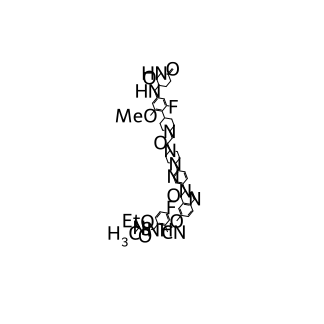 CCN(C)S(=O)(=O)Nc1ccc(F)c(Oc2ccc3ncn(-c4ccc(N5CCN(C(=O)CN6CCC(c7c(F)cc(NC8CCC(=O)NC8=O)cc7OC)CC6)CC5)nc4)c(=O)c3c2)c1C#N